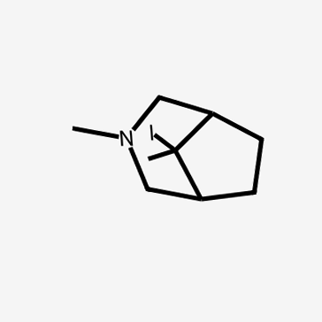 CN1CC2CCC(C1)C2(C)I